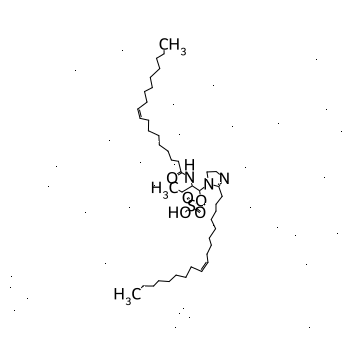 CCCCCCCC/C=C\CCCCCCCCC1=NCCN1C(OS(=O)(=O)O)C(CC)NC(=O)CCCCCCC/C=C\CCCCCCCC